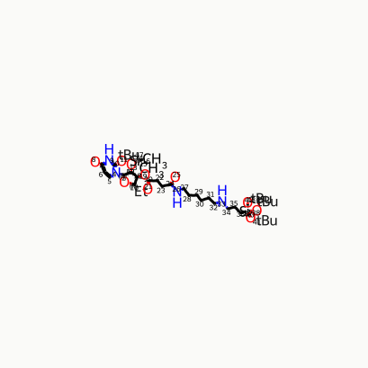 CC[C@H]1O[C@@H](n2ccc(=O)[nH]c2=O)[C@@H](O[Si](C)(C)C(C)(C)C)C1OC(=O)CCC(=O)NCCCCCCNCCC[Si](OC(C)(C)C)(OC(C)(C)C)OC(C)(C)C